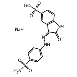 NS(=O)(=O)c1ccc(N/N=C2\C(=O)Nc3ccc(S(=O)(=O)O)cc32)cc1.[NaH]